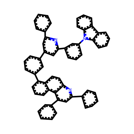 c1ccc(-c2cc(-c3cccc(-c4cccc5c4ccc4nc(-c6ccccc6)cc(-c6ccccc6)c45)c3)cc(-c3cccc(-n4c5ccccc5c5ccccc54)c3)n2)cc1